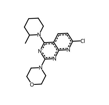 CC1CCCCN1c1nc(N2CCOCC2)nc2nc(Cl)ccc12